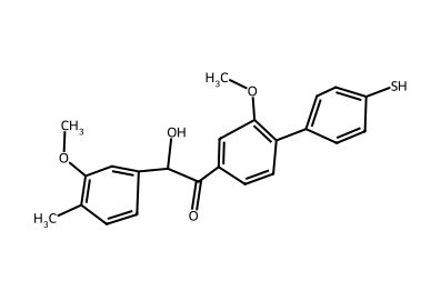 COc1cc(C(O)C(=O)c2ccc(-c3ccc(S)cc3)c(OC)c2)ccc1C